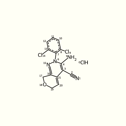 Cl.N#CC1=C(N)N(c2c(Cl)cccc2Cl)N=C2COCC=C21